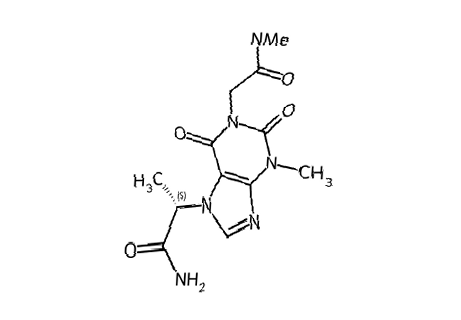 CNC(=O)Cn1c(=O)c2c(ncn2[C@@H](C)C(N)=O)n(C)c1=O